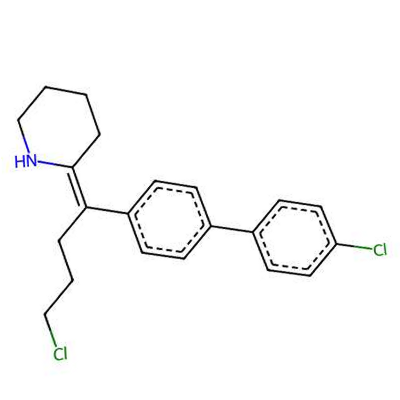 ClCCCC(=C1CCCCN1)c1ccc(-c2ccc(Cl)cc2)cc1